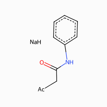 CC(=O)CC(=O)Nc1ccccc1.[NaH]